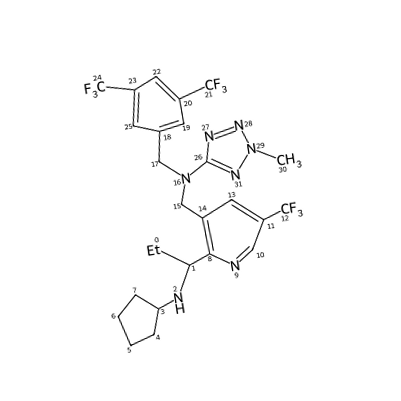 CCC(NC1CCCC1)c1ncc(C(F)(F)F)cc1CN(Cc1cc(C(F)(F)F)cc(C(F)(F)F)c1)c1nnn(C)n1